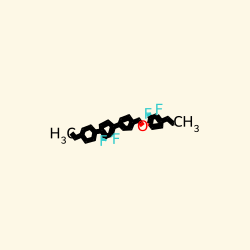 CCCc1ccc(OCc2ccc(-c3ccc(C4CCC(CC)CC4)c(F)c3F)cc2)c(F)c1F